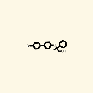 CC(CO)(Oc1ccc(-c2ccc(Br)cc2)cc1)c1ccccc1